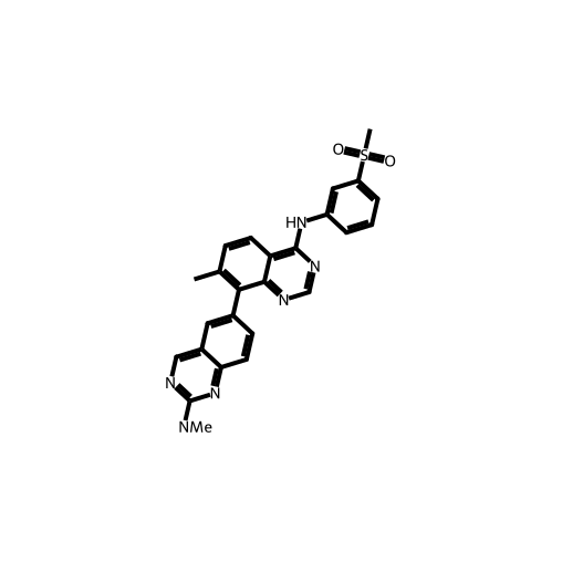 CNc1ncc2cc(-c3c(C)ccc4c(Nc5cccc(S(C)(=O)=O)c5)ncnc34)ccc2n1